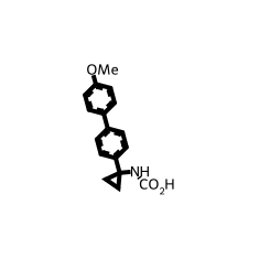 COc1ccc(-c2ccc(C3(NC(=O)O)CC3)cc2)cc1